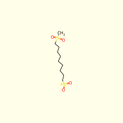 CS(=O)(=O)CCCCCCCCC[SH](=O)=O